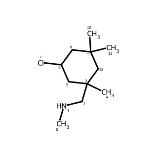 CNCC1(C)CC(Cl)CC(C)(C)C1